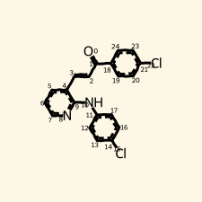 O=C(C=Cc1cccnc1Nc1ccc(Cl)cc1)c1ccc(Cl)cc1